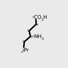 CC(C)CCCCC(=O)O.N